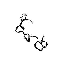 Cc1[nH]nnc1-c1ccnc(-c2cn(C[C@@H]3CCCc4cccc(F)c43)cn2)c1